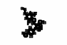 CCCc1cc(F)c(OCc2c(OC)nsc2-c2ccc(OC)cc2)c(F)c1